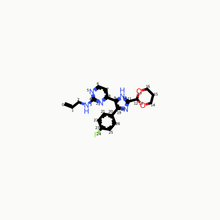 C=CCNc1nccc(-c2[nH]c(C3OCCCO3)nc2-c2ccc(F)cc2)n1